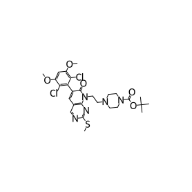 COc1cc(OC)c(Cl)c(-c2cc3cnc(SC)nc3n(CCN3CCN(C(=O)OC(C)(C)C)CC3)c2=O)c1Cl